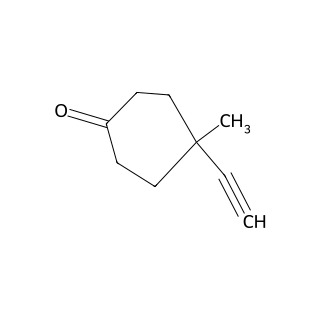 C#CC1(C)CCC(=O)CC1